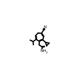 C=C(N)CC1=C(C2CC2)C=C(C#N)CC=C1C(C)C